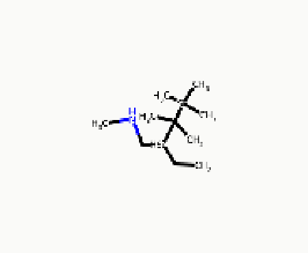 CC[SiH](CNC)C(C)(C)[Si](C)(C)C